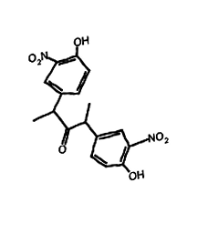 CC(C(=O)C(C)c1ccc(O)c([N+](=O)[O-])c1)c1ccc(O)c([N+](=O)[O-])c1